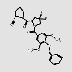 COc1cc(C(=O)N2CC(F)(F)C[C@H]2C(=O)N2CCC[C@H]2C#N)cc(OC)c1OCc1ccccc1